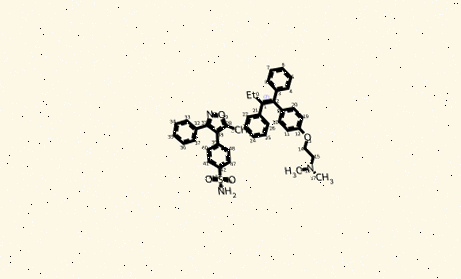 CC/C(=C(\c1ccccc1)c1ccc(OCCN(C)C)cc1)c1ccccc1.Cc1onc(-c2ccccc2)c1-c1ccc(S(N)(=O)=O)cc1